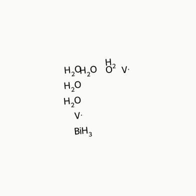 O.O.O.O.O.[BiH3].[V].[V]